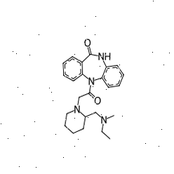 CCN(C)CC1CCCCN1CC(=O)N1c2ccccc2NC(=O)c2ccccc21